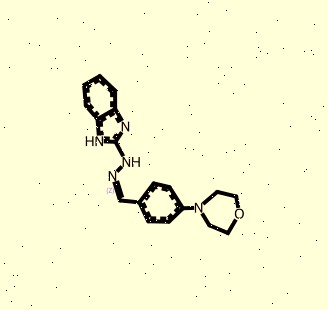 C(=N/Nc1nc2ccccc2[nH]1)/c1ccc(N2CCOCC2)cc1